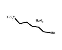 CC(C)(C)CCCCCC(=O)O.[BaH2]